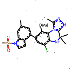 COc1c(-c2cc(C)cc3c2ccn3S(C)(=O)=O)cc(F)c2c1-n1c(C)nnc1C(C)(C)N2